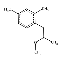 CO[C](C)Cc1ccc(C)cc1C